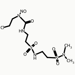 CN(C)S(=O)(=O)CCNS(=O)(=O)CCNC(=O)N(CCCl)N=O